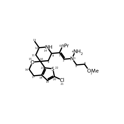 CCCC(=CN(N)CCOC)C1CC2(CC(C)N1)OCCc1cc(Cl)sc12